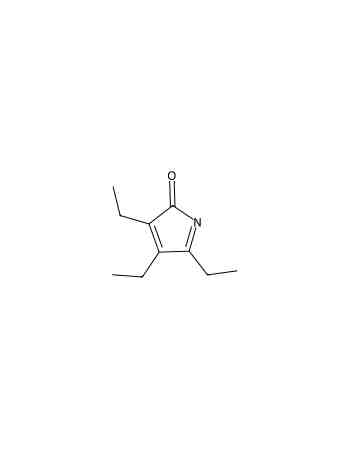 CCC1=NC(=O)C(CC)=C1CC